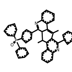 CC1=C2c3ccccc3N=C(c3ccc(P(=O)(c4ccccc4)c4ccccc4)cc3)C2C(C)c2c1c(-c1ccccc1)nc1ccccc21